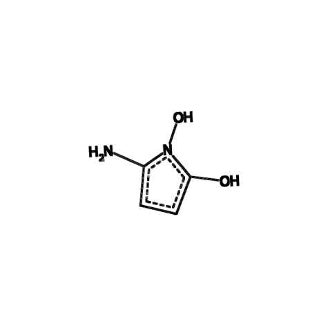 Nc1ccc(O)n1O